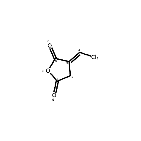 O=C1CC(=CCl)C(=O)O1